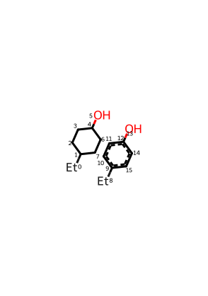 CCC1CCC(O)CC1.CCc1ccc(O)cc1